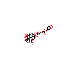 CC1C(C2CC(COC(=O)CCCCC(=O)OCC3CCC4OC4C3)CC3OC32)CC(C2(C)CO2)C2OC12